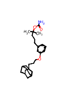 CC(C)(CCCc1cccc(OCCCC23CC4CC(CC(C4)C2)C3)c1)OC(N)=O